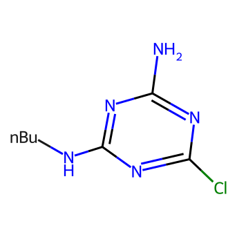 CCCCNc1nc(N)nc(Cl)n1